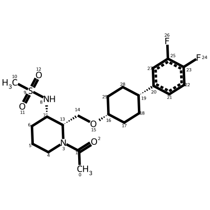 CC(=O)N1CCC[C@H](NS(C)(=O)=O)[C@@H]1CO[C@H]1CC[C@@H](c2ccc(F)c(F)c2)CC1